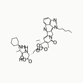 CCCCCN1C=Nc2cccc3nc4c(c1c23)Cn1c-4cc2c(c1=O)COC(=O)[C@@]2(CC)OC(=O)CC[C@@H](NC(=O)C(C)NC1CCCCC1)C(=O)O